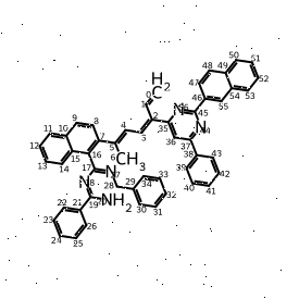 C=C/C(=C\C=C(/C)c1ccc2ccccc2c1C(/N=C(\N)c1ccccc1)=N/Cc1ccccc1)c1cc(-c2ccccc2)nc(-c2ccc3ccccc3c2)n1